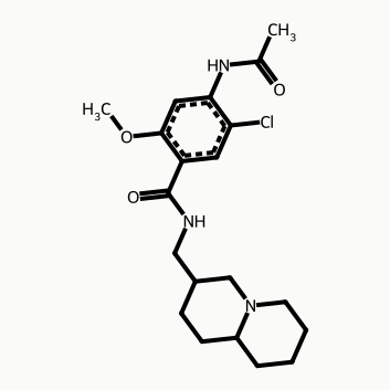 COc1cc(NC(C)=O)c(Cl)cc1C(=O)NCC1CCC2CCCCN2C1